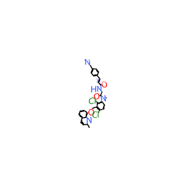 Cc1ccc2cccc(OCc3c(Cl)ccc(N(C)C(=O)CNC(=O)/C=C/c4ccc(C#N)cc4)c3Cl)c2n1